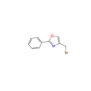 BrCc1coc(-c2ccccc2)n1